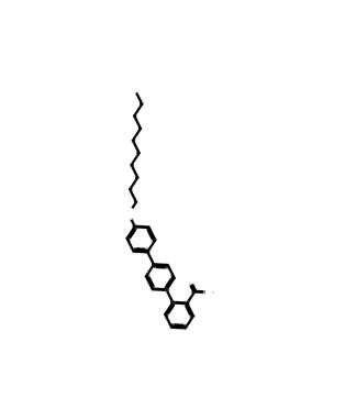 CCCCCCCCCCOc1ccc(-c2ccc(-c3ccccc3C(=O)O)cc2)cc1